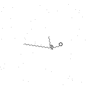 CCCCCCCCCCCCCCCCCc1nc(CCCc2ccccc2)cn1CCCCCC